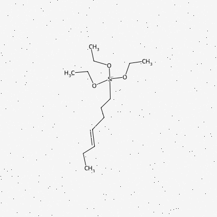 CCC=CCCC[Si](OCC)(OCC)OCC